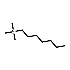 [CH2][Si](C)(C)CCCCCCC